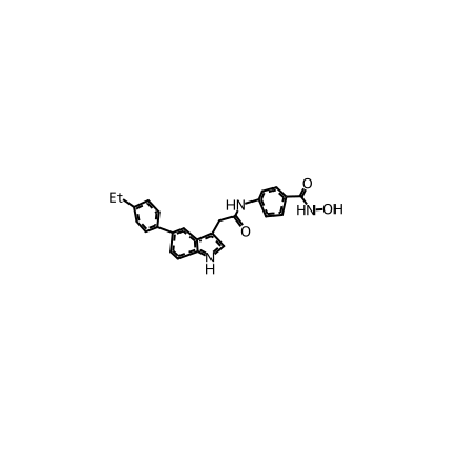 CCc1ccc(-c2ccc3[nH]cc(CC(=O)Nc4ccc(C(=O)NO)cc4)c3c2)cc1